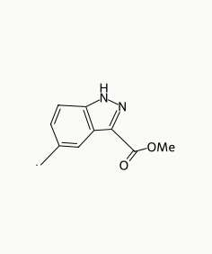 [CH2]c1ccc2[nH]nc(C(=O)OC)c2c1